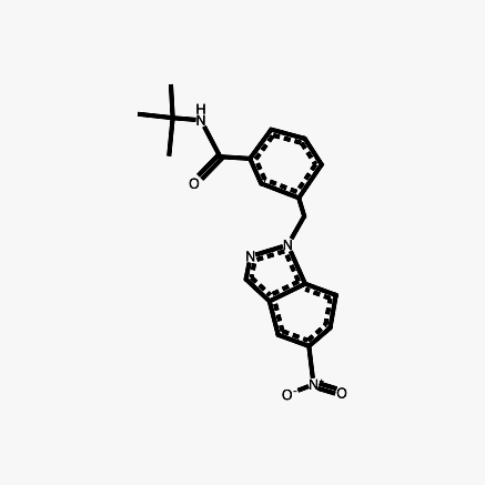 CC(C)(C)NC(=O)c1cccc(Cn2ncc3cc([N+](=O)[O-])ccc32)c1